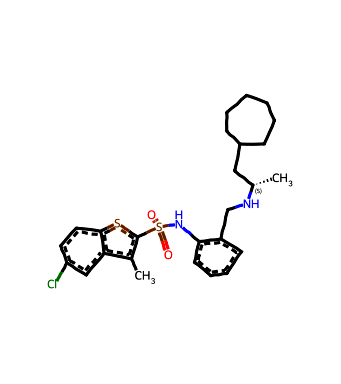 Cc1c(S(=O)(=O)Nc2ccccc2CN[C@@H](C)CC2CCCCCC2)sc2ccc(Cl)cc12